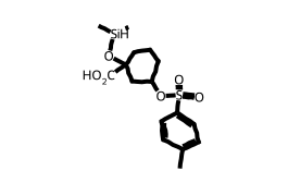 Cc1ccc(S(=O)(=O)OC2CCCC(O[SiH](C)C)(C(=O)O)C2)cc1